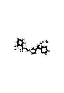 CCCCn1cc(C2CCN(C=CC(=O)c3ccccc3Cl)C2)c2ccccc21